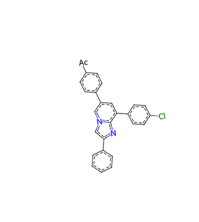 CC(=O)c1ccc(-c2cc(-c3ccc(Cl)cc3)c3nc(-c4ccccc4)cn3c2)cc1